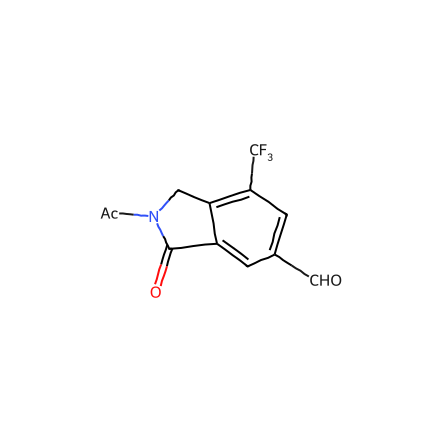 CC(=O)N1Cc2c(cc(C=O)cc2C(F)(F)F)C1=O